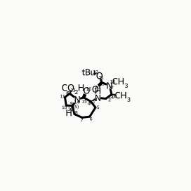 C[C@@H](CN[C@H]1CCCC[C@H]2CC[C@@H](C(=O)O)N2C1=O)N(C)C(=O)OC(C)(C)C